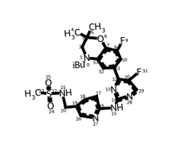 CCC(C)N1CC(C)(C)Oc2c(F)cc(-c3nc(Nc4ccc(CNS(C)(=O)=O)cn4)ncc3F)cc21